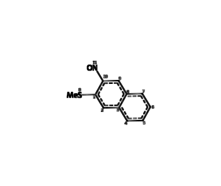 CSc1cc2ccccc2cc1N=O